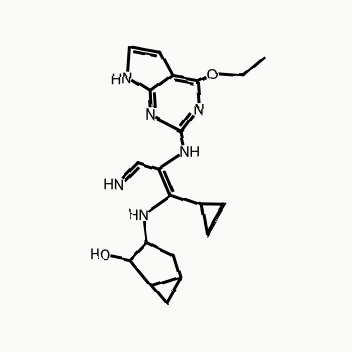 CCOc1nc(N/C(C=N)=C(/NC2CC3CC3C2O)C2CC2)nc2[nH]ccc12